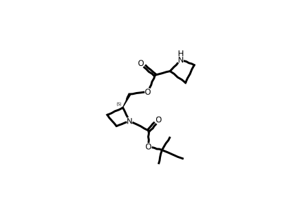 CC(C)(C)OC(=O)N1CC[C@H]1COC(=O)C1CCN1